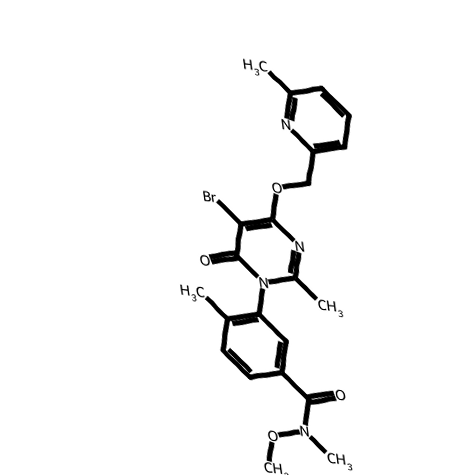 CON(C)C(=O)c1ccc(C)c(-n2c(C)nc(OCc3cccc(C)n3)c(Br)c2=O)c1